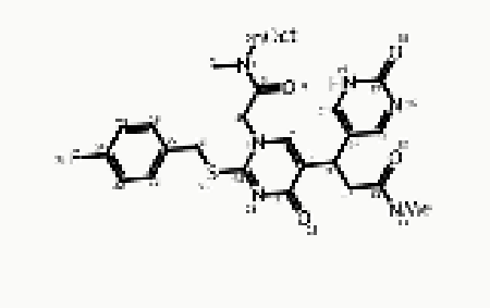 CCCCCCCCN(C)C(=O)Cn1cc(C(CC(=O)NC)c2cnc(=O)[nH]c2)c(=O)nc1SCc1ccc(F)cc1